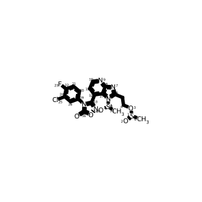 CS(=O)OCCc1nc2nccc(-c3noc(=O)n3-c3ccc(F)c(Cl)c3)c2n1[S+](C)[O-]